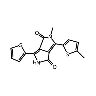 Cc1ccc(C2=C3C(=O)NC(c4cccs4)=C3C(=O)N2C)s1